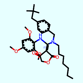 CCCCCCCN(Cc1ccc(CC(C)(C)C)cc1)/C(Nc1c(OC)cc(OC)cc1OC)=C1/C(=O)COC1=O